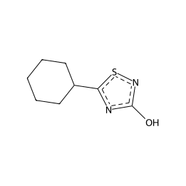 Oc1nsc(C2CCCCC2)n1